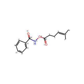 CC(C)=CCCC(=O)ONC(=O)c1ccccc1